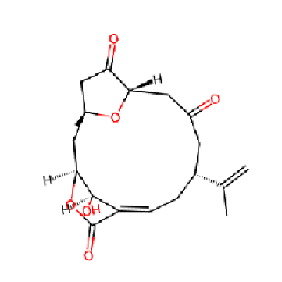 C=C(C)[C@@H]1C/C=C2/C(=O)O[C@@H](C[C@]3(C)CC(=O)[C@H](CC(=O)C1)O3)[C@@H]2O